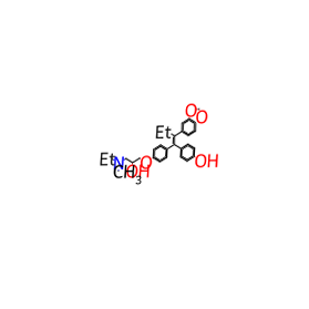 CC/C(=C(/c1ccc(O)cc1)c1ccc(OCC(O)CN(C)CC)cc1)c1ccc2c(c1)OCO2